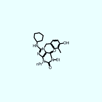 CCCn1c(=O)n(CC)c(=O)c2c1nc(NC1CCCCC1)n2Cc1ccc(O)c(C)c1